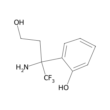 NC(CCO)(c1ccccc1O)C(F)(F)F